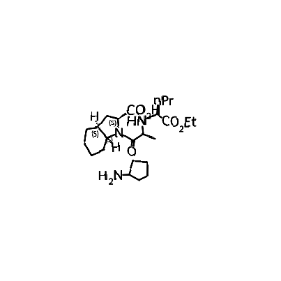 CCCC(NC(C)C(=O)N1[C@H](C(=O)O)C[C@@H]2CCCC[C@@H]21)C(=O)OCC.NC1CCCC1